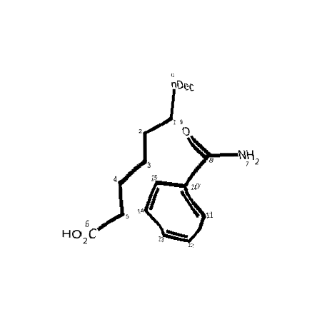 CCCCCCCCCCCCCCCC(=O)O.NC(=O)c1ccccc1